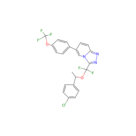 CC(OC(F)(F)c1nnc2ccc(-c3ccc(OC(F)(F)F)cc3)cn12)c1ccc(Cl)cc1